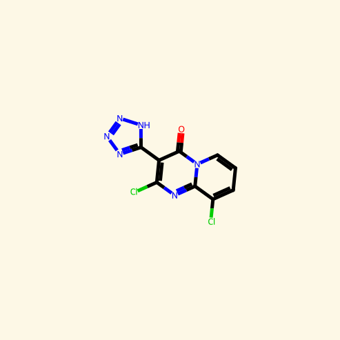 O=c1c(-c2nnn[nH]2)c(Cl)nc2c(Cl)cccn12